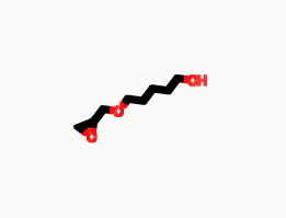 OCCCCCOCC1CO1